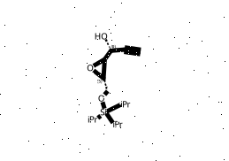 C#C[C@@H](O)C1O[C@H]1CO[Si](C(C)C)(C(C)C)C(C)C